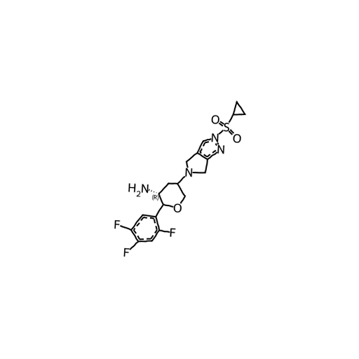 N[C@@H]1CC(N2Cc3cn(S(=O)(=O)C4CC4)nc3C2)COC1c1cc(F)c(F)cc1F